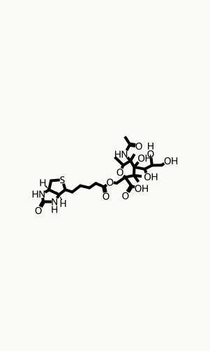 CC(=O)NC1(C)C(C)OC(COC(=O)CCCCC2SC[C@@H]3NC(=O)N[C@H]23)(C(=O)O)C(C)(C)C1(O)C(O)C(O)CO